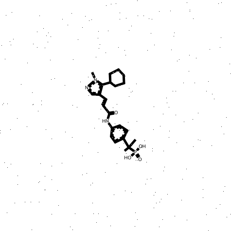 Cn1ncc(/C=C/C(=O)Nc2ccc(C(C)(C)P(=O)(O)O)cc2)c1C1CCCCC1